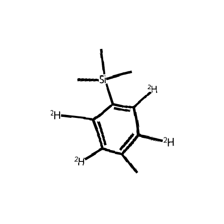 [2H]c1c([2H])c([Si](C)(C)C)c([2H])c([2H])c1C